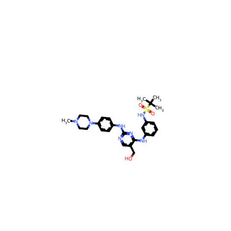 CN1CCN(c2ccc(Nc3ncc(CO)c(Nc4cccc(NS(=O)(=O)C(C)(C)C)c4)n3)cc2)CC1